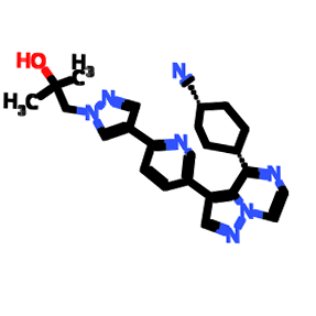 CC(C)(O)Cn1cc(-c2ccc(-c3cnn4ccnc([C@H]5CC[C@@H](C#N)CC5)c34)cn2)cn1